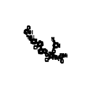 C[C@@](CO)(NCc1cc(Cl)c(O[C@H]2CCc3c(-c4cccc(-c5ccc(CNC[C@@H]6CCC(=O)N6)cc5)c4Cl)cccc32)nc1OCc1cncc(C#N)c1)C(=O)O